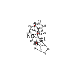 CCC(C#N)(CC1C2CCC1CN(Cc1ccccc1)C2)c1ccccc1